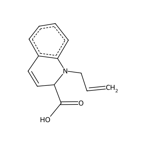 C=CCN1c2ccccc2C=CC1C(=O)O